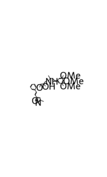 COc1cc(CCC(C)NCC(O)COc2ccccc2C=Cc2cc(C)no2)cc(OC)c1OC